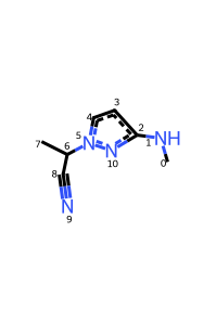 CNc1ccn(C(C)C#N)n1